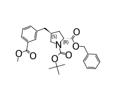 COC(=O)c1cccc(C[C@H]2C[C@H](C(=O)OCc3ccccc3)N(C(=O)OC(C)(C)C)C2)c1